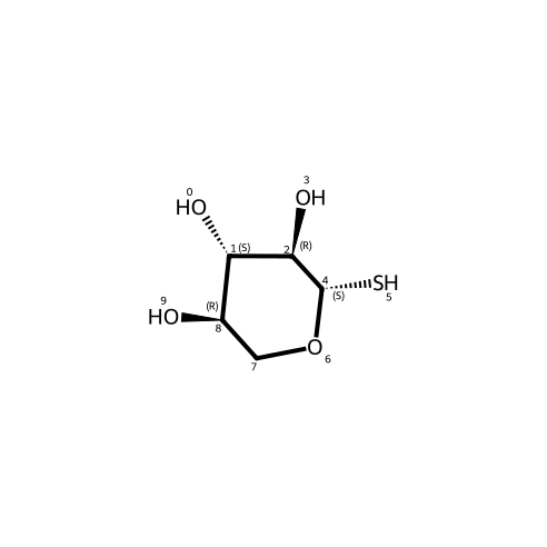 O[C@@H]1[C@@H](O)[C@H](S)OC[C@H]1O